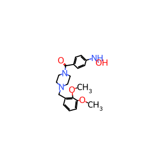 COc1cccc(CN2CCN(C(=O)c3ccc(NO)cc3)CC2)c1OC